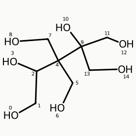 OCC(O)C(CO)(CO)C(O)(CO)CO